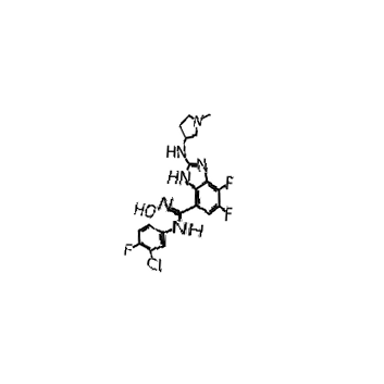 CN1CCC(Nc2nc3c(F)c(F)cc(C(=NO)Nc4ccc(F)c(Cl)c4)c3[nH]2)C1